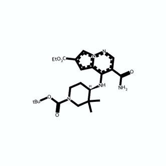 CCOC(=O)c1cc2c(N[C@@H]3CCN(C(=O)OC(C)(C)C)CC3(C)C)c(C(N)=O)cnn2c1